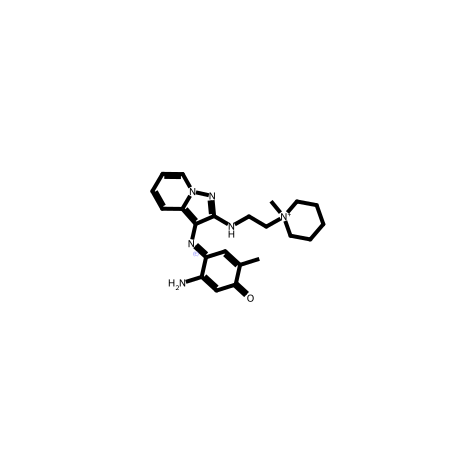 CC1=C/C(=N\c2c(NCC[N+]3(C)CCCCC3)nn3ccccc23)C(N)=CC1=O